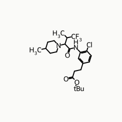 CC1CCN(C(C(=O)Nc2cc(CCC(=O)OC(C)(C)C)ccc2Cl)C(C)C(F)(F)F)CC1